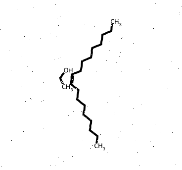 CCCCCCCC/C=C\CCCCCCCC.CCO